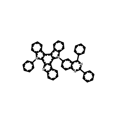 c1ccc(-c2nc(-c3ccccc3)c3cc(-n4c5ccccc5c5c6c7ccccc7n(-c7ccccc7)c6c6sc7ccccc7c6c54)ccc3n2)cc1